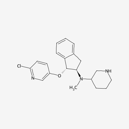 CN(C1CCCNC1)[C@@H]1Cc2ccccc2[C@H]1Oc1ccc(Cl)nc1